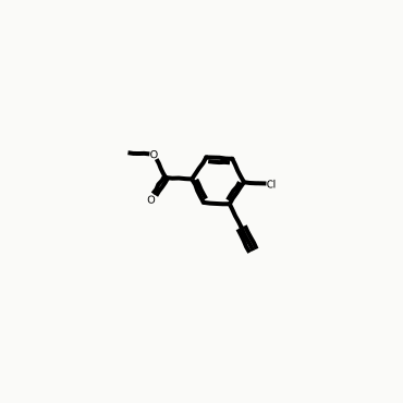 C#Cc1cc(C(=O)OC)ccc1Cl